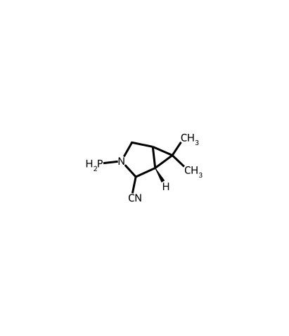 CC1(C)C2CN(P)C(C#N)[C@H]21